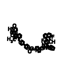 C#Cc1c(F)ccc2cccc(-c3ncc4c(N5CC6CCC(C5)N6)nc(OC[C@@]56CCCN5[C@H](COC(=O)N5CCC(C7CCN(Cc8cccc9c8n(C)c(=O)n9C8CCC(=O)NC8=O)CC7)CC5)CC6)nc4c3F)c12